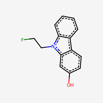 Oc1ccc2c3ccccc3n(CCF)c2c1